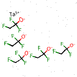 [O-]C(F)(F)CF.[O-]C(F)(F)CF.[O-]C(F)(F)CF.[O-]C(F)(F)CF.[O-]C(F)(F)CF.[Ta+5]